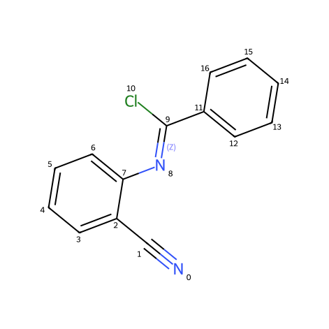 N#Cc1ccccc1/N=C(\Cl)c1ccccc1